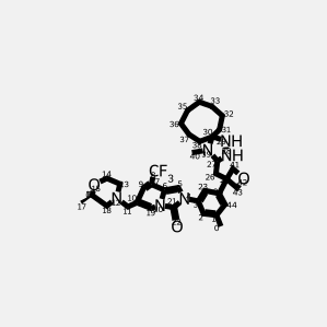 Cc1cc(-n2cc3c(C(F)(F)F)cc(CN4CCO[C@H](C)C4)cn3c2=O)cc(C2(CC3NNC4(CCCCCCCC4)N3C)COC2)c1